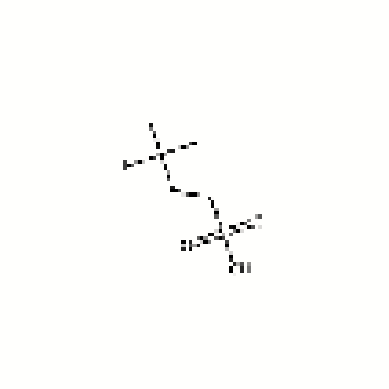 O=S(=O)(O)CCC(I)(I)I